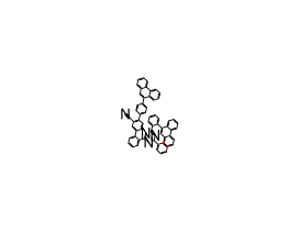 N#Cc1cc(-c2ccccc2-c2nc(-c3ccccc3)nc(-c3ccccc3-c3cc4ccccc4c4ccccc34)n2)ccc1-c1ccc(-c2cc3ccccc3c3ccccc23)cc1